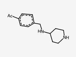 CC(=O)c1ccc(CNC2CCNCC2)cc1